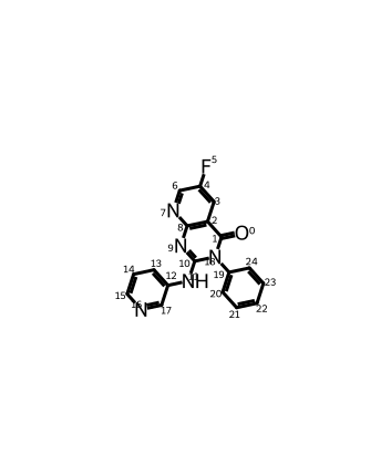 O=c1c2cc(F)cnc2nc(Nc2cccnc2)n1-c1ccccc1